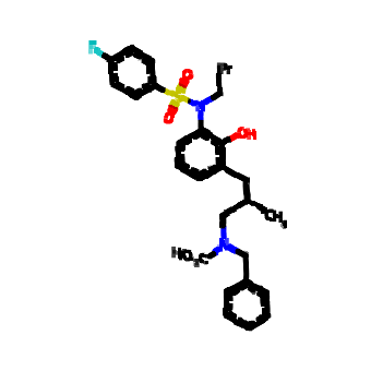 CC(C)CN(c1cccc(C[C@@H](C)CN(Cc2ccccc2)C(=O)O)c1O)S(=O)(=O)c1ccc(F)cc1